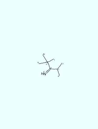 CC(C)C(=N)C(C)(C)C